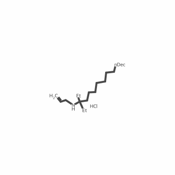 C=CCNC(CC)(CC)CCCCCCCCCCCCCCCCC.Cl